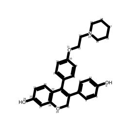 Oc1ccc(C2=C(c3ccc(OCCN4CCCCC4)cc3)c3ccc(O)cc3OC2)cc1